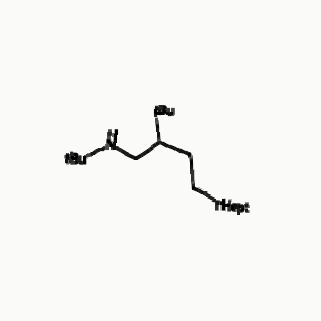 CCCCCCCCCC(CNC(C)(C)C)C(C)(C)C